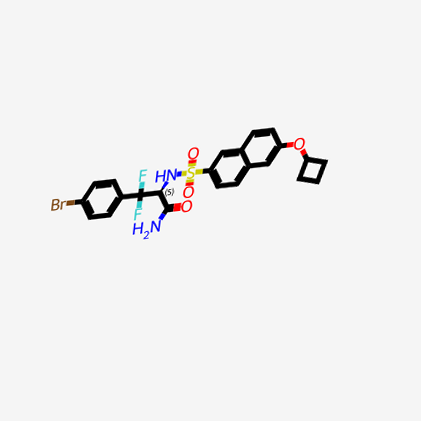 NC(=O)[C@H](NS(=O)(=O)c1ccc2cc(OC3CCC3)ccc2c1)C(F)(F)c1ccc(Br)cc1